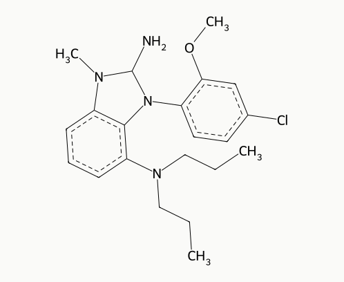 CCCN(CCC)c1cccc2c1N(c1ccc(Cl)cc1OC)C(N)N2C